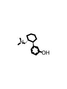 CN(C)C[C@@H]1CCCC[C@H]1c1cccc(O)c1